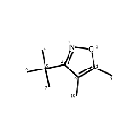 Cc1onc(C(C)(C)C)c1C